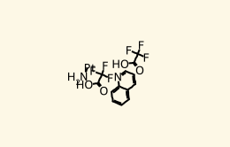 O=C(O)C(F)(F)F.O=C(O)C(F)(F)F.[NH2][Pt].c1ccc2ncccc2c1